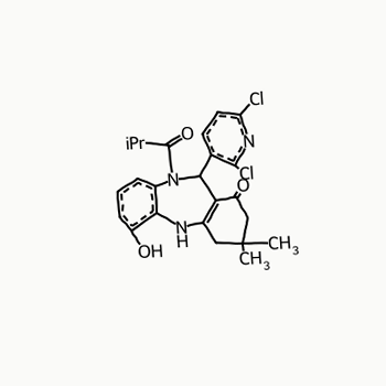 CC(C)C(=O)N1c2cccc(O)c2NC2=C(C(=O)CC(C)(C)C2)C1c1ccc(Cl)nc1Cl